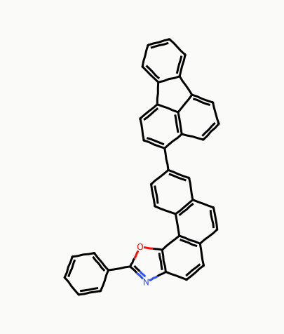 c1ccc(-c2nc3ccc4ccc5cc(-c6ccc7c8c(cccc68)-c6ccccc6-7)ccc5c4c3o2)cc1